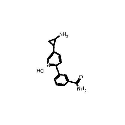 Cl.NC(=O)c1cccc(-c2ccc(C3CC3N)cn2)c1